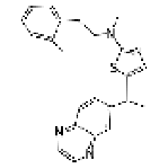 Cc1ccccc1CCN(C)c1ncc(C(C)c2ccc3nccnc3c2)s1